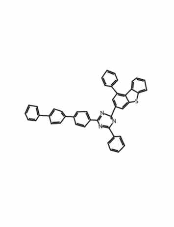 c1ccc(-c2ccc(-c3ccc(-c4nc(-c5ccccc5)nc(-c5cc(-c6ccccc6)c6c(c5)sc5ccccc56)n4)cc3)cc2)cc1